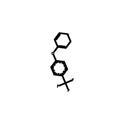 FC(F)(F)c1ccc(OC2=CC[CH]C=C2)cc1